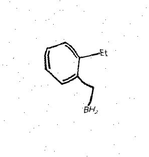 BCc1ccccc1CC